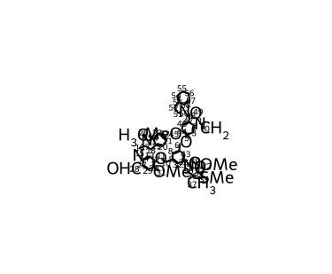 C=Nc1cc(OCc2cc(COc3cc(/N=C\C4Cc5ccccc5N4C)c(C=O)cc3OC)cc(N(CC(C)SSC)OOOC)c2)c(OC)cc1C(=O)N1CCC2=CCCC=C21